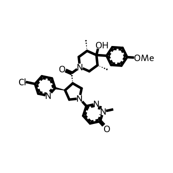 COc1ccc(C2(O)[C@H](C)CN(C(=O)[C@@H]3CN(c4ccc(=O)n(C)n4)C[C@H]3c3ccc(Cl)cn3)C[C@@H]2C)cc1